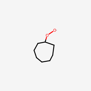 [O]OC1CCCCCCC1